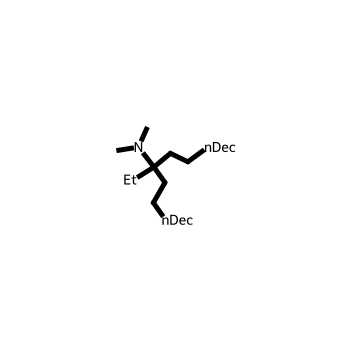 CCCCCCCCCCCCC(CC)(CCCCCCCCCCCC)N(C)C